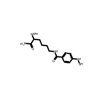 CCCNc1ccc(C(=O)NCCCCC(NC)C(N)=O)cc1